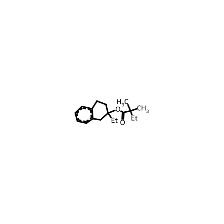 CCC1(OC(=O)C(C)(C)CC)CCc2ccccc2C1